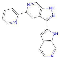 c1ccc(-c2cc3c(-c4cc5ccncc5[nH]4)n[nH]c3cn2)nc1